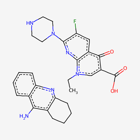 CCn1cc(C(=O)O)c(=O)c2cc(F)c(N3CCNCC3)nc21.Nc1c2c(nc3ccccc13)CCCC2